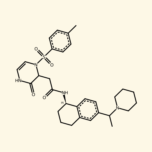 Cc1ccc(S(=O)(=O)N2C=CNC(=O)C2CC(=O)N[C@@H]2CCCc3cc(C(C)N4CCCCC4)ccc32)cc1